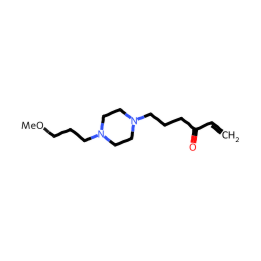 C=CC(=O)CCCN1CCN(CCCOC)CC1